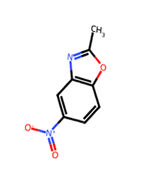 Cc1nc2cc([N+](=O)[O-])ccc2o1